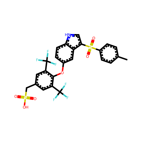 Cc1ccc(S(=O)(=O)c2c[nH]c3ccc(Oc4c(C(F)(F)F)cc(CS(=O)(=O)O)cc4C(F)(F)F)cc23)cc1